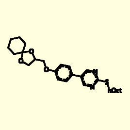 CCCCCCCCSc1ncc(-c2ccc(OCC3COC4(CCCCC4)O3)cc2)cn1